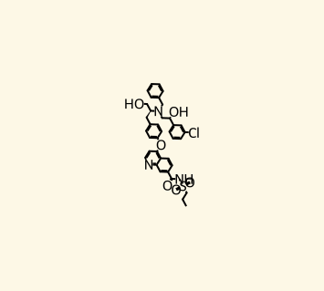 CCCS(=O)(=O)NC(=O)c1ccc2c(Oc3ccc(C[C@@H](CO)N(Cc4ccccc4)C[C@H](O)c4cccc(Cl)c4)cc3)ccnc2c1